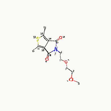 COCCOCCN1C(=O)c2c(C)sc(C)c2C1=O